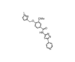 COc1cc(C(=O)Nc2nnc(-c3ccncc3)s2)ccc1OCc1ccn(C)n1